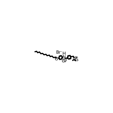 CCCCCCCCCCCCCCOc1ccc(NC(=O)c2ccc(C[n+]3cscc3C)cc2)c(Cl)c1.[Br-]